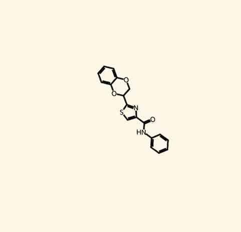 O=C(Nc1ccccc1)c1csc(C2COc3ccccc3O2)n1